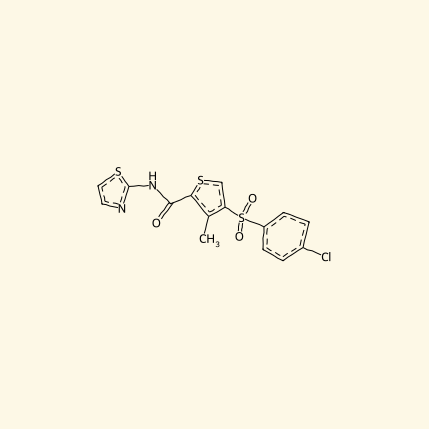 Cc1c(S(=O)(=O)c2ccc(Cl)cc2)csc1C(=O)Nc1nccs1